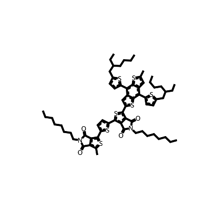 CCCCCCCCN1C(=O)c2c(C)sc(-c3ccc(-c4sc(-c5cc6c(-c7ccc(CC(CC)CCCC)s7)c7sc(C)cc7c(-c7ccc(CC(CC)CCCC)s7)c6s5)c5c4C(=O)N(CCCCCCCC)C5=O)s3)c2C1=O